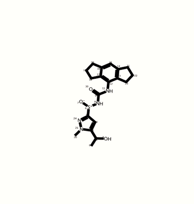 CC(O)c1cc([S+]([O-])NC(=O)Nc2c3c(cc4c2CCC4)CCC3)nn1C